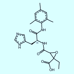 CCC1(C(=O)O)OC1C(=O)N[C@@H](Cc1cnc[nH]1)C(=O)Nc1c(C)cc(C)cc1C